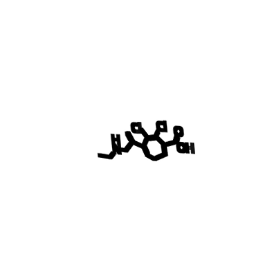 C=C(CNCC)C1=CCC=C(C(=O)O)C(Cl)=C1Cl